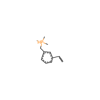 C=Cc1cccc(C[PH](C)(C)C)c1